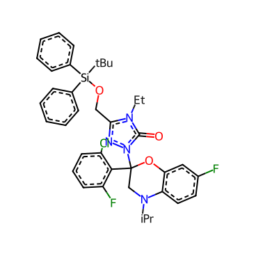 CCn1c(CO[Si](c2ccccc2)(c2ccccc2)C(C)(C)C)nn(C2(c3c(F)cccc3Cl)CN(C(C)C)c3ccc(F)cc3O2)c1=O